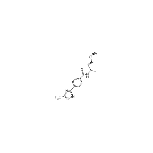 CCCO/N=C/C(C)NC(=O)c1ccc(-c2noc(C(F)(F)F)n2)cc1